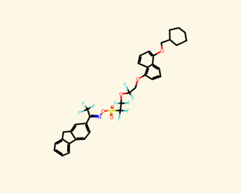 O=S(=O)(O/N=C(/c1ccc2c(c1)Cc1ccccc1-2)C(F)(F)F)C(F)(F)C(F)(F)OC(F)(F)COc1cccc2c(OCC3CCCCC3)cccc12